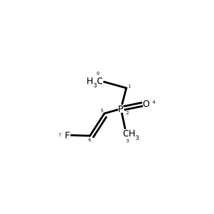 CCP(C)(=O)C=CF